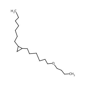 CCCCCCCC1CC1CCCCCCOCCCC